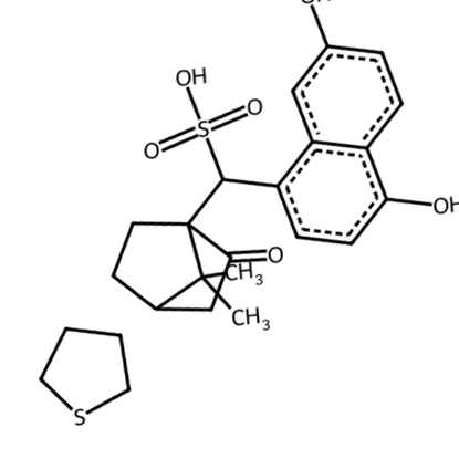 C1CCSC1.CC1(C)C2CCC1(C(c1ccc(O)c3ccc(O)cc13)S(=O)(=O)O)C(=O)C2